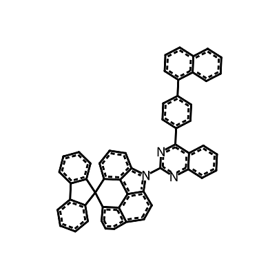 c1ccc2c(c1)-c1ccccc1C21c2cccc3ccc4c(c23)c2c1cccc2n4-c1nc(-c2ccc(-c3cccc4ccccc34)cc2)c2ccccc2n1